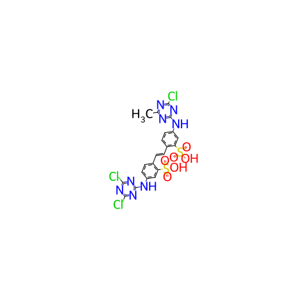 Cc1nc(Cl)nc(Nc2ccc(C=Cc3ccc(Nc4nc(Cl)nc(Cl)n4)cc3S(=O)(=O)O)c(S(=O)(=O)O)c2)n1